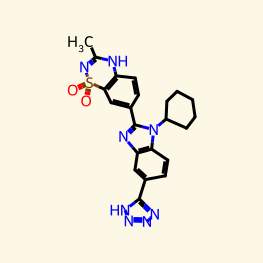 CC1=NS(=O)(=O)c2cc(-c3nc4cc(-c5nnn[nH]5)ccc4n3C3CCCCC3)ccc2N1